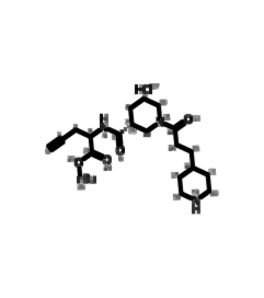 C#CCC(NC(=O)[C@@H]1CCCN(C(=O)CCC2CCNCC2)C1)C(=O)OCCCC.Cl